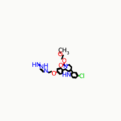 COCCOC(=O)N1CCc2c([nH]c3ccc(Cl)cc23)C1c1ccc(OCCN/C=C\N=N)cc1